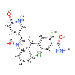 CNC(=O)c1ccc(C(C/C(=N/O)c2ccc(=O)n(C)c2)c2ccccc2Cl)cc1F